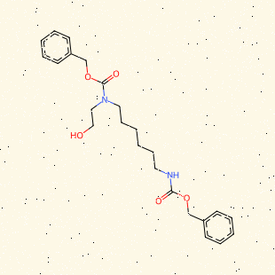 O=C(NCCCCCCN(CCO)C(=O)OCc1ccccc1)OCc1ccccc1